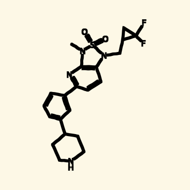 CN1c2nc(-c3cccc(C4CCNCC4)c3)ccc2N(CC2CC2(F)F)S1(=O)=O